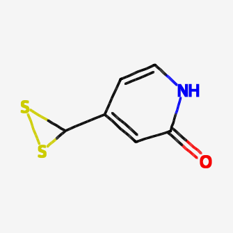 O=c1cc(C2SS2)cc[nH]1